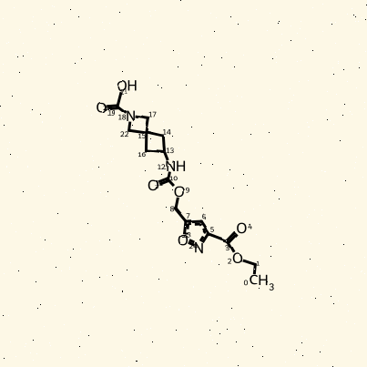 CCOC(=O)c1cc(COC(=O)NC2CC3(C2)CN(C(=O)O)C3)on1